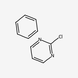 Clc1ncccn1.c1ccccc1